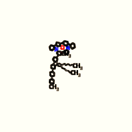 CCCCCCCCC1(CCCCCCCC)c2cc(-c3ccc(-c4ccc(C)cc4)cc3)ccc2-c2ccc(-c3cc(C)cc(-n4c5ccccc5c5ccc6c7ccc8c9ccccc9n(-c9ccccc9)c8c7oc6c54)c3)cc21